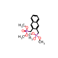 COP(=O)(Cc1cc2ccccc2cc1CP(=O)(OC)OC)OC